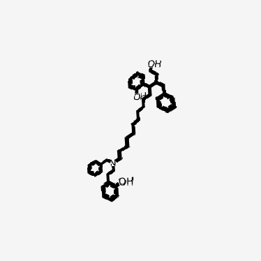 OCC[C](Cc1ccccc1)C(CCCCCCCCCCCN(CCc1ccccc1O)Cc1ccccc1)c1ccccc1O